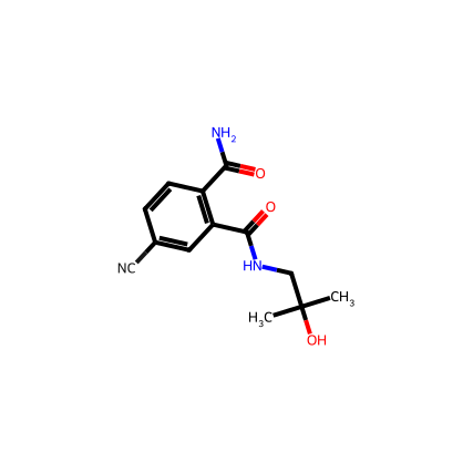 CC(C)(O)CNC(=O)c1cc(C#N)ccc1C(N)=O